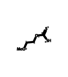 COCCOC(=S)S